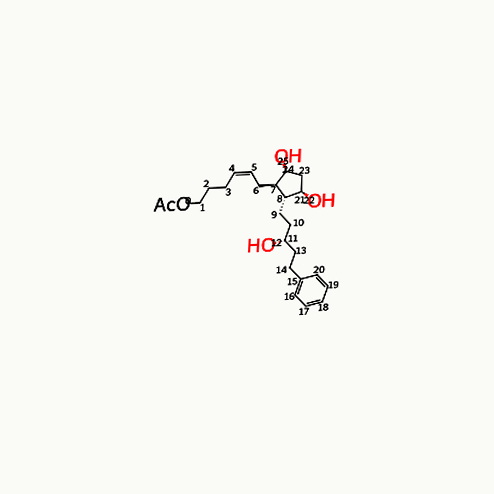 CC(=O)OCCC/C=C\C[C@@H]1[C@@H](CC[C@@H](O)CCc2ccccc2)[C@H](O)C[C@@H]1O